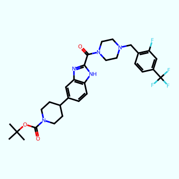 CC(C)(C)OC(=O)N1CCC(c2ccc3[nH]c(C(=O)N4CCN(Cc5ccc(C(F)(F)F)cc5F)CC4)nc3c2)CC1